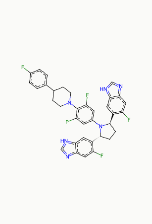 Fc1ccc(C2CCN(c3c(F)cc(N4[C@@H](c5cc6[nH]cnc6cc5F)CC[C@@H]4c4cc5[nH]cnc5cc4F)cc3F)CC2)cc1